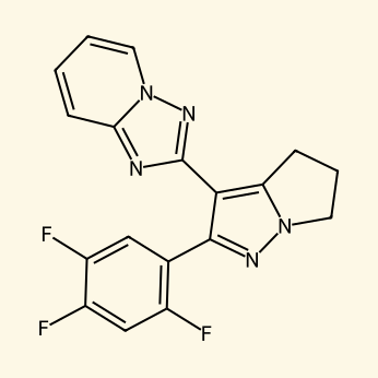 Fc1cc(F)c(-c2nn3c(c2-c2nc4ccccn4n2)CCC3)cc1F